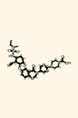 CCN(C)S(=O)(=O)Nc1ccc(F)c(Oc2ccc3ncn(-c4cnc(N5CCN(C(=O)O)CC5)nc4)c(=O)c3c2)c1C#N